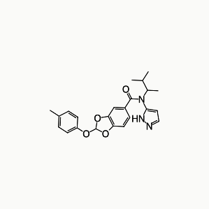 Cc1ccc(OC2Oc3ccc(C(=O)N(c4ccn[nH]4)C(C)C(C)C)cc3O2)cc1